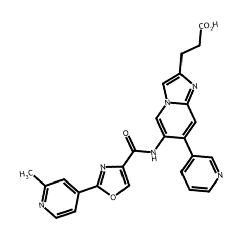 Cc1cc(-c2nc(C(=O)Nc3cn4cc(CCC(=O)O)nc4cc3-c3cccnc3)co2)ccn1